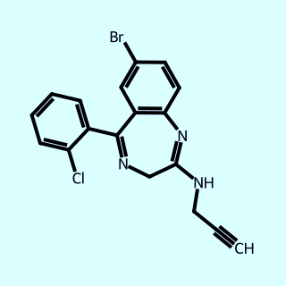 C#CCNC1=Nc2ccc(Br)cc2C(c2ccccc2Cl)=NC1